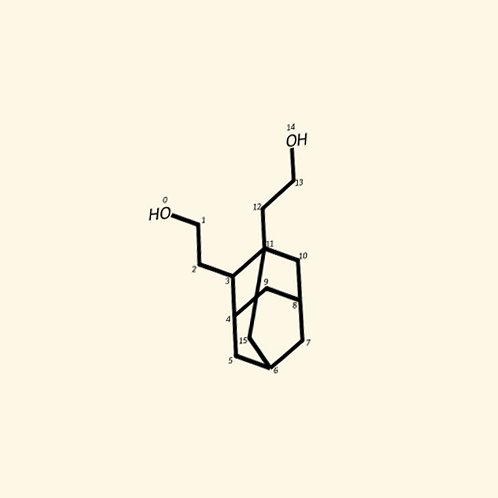 OCCC1C2CC3CC(C2)CC1(CCO)C3